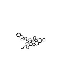 CCCC(=O)O[C@@]1(C(=O)COC(=O)Cc2ccccc2)CC[C@H]2[C@@H]3CCC4=CC(=O)CC[C@]4(C)[C@H]3C(=O)C[C@@]21C